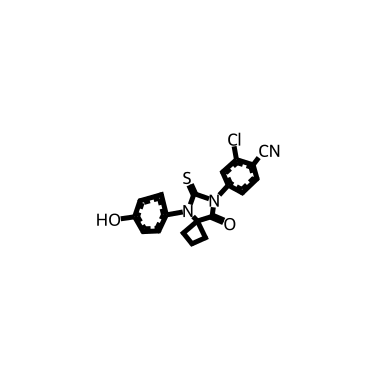 N#Cc1ccc(N2C(=O)C3(CCC3)N(c3ccc(O)cc3)C2=S)cc1Cl